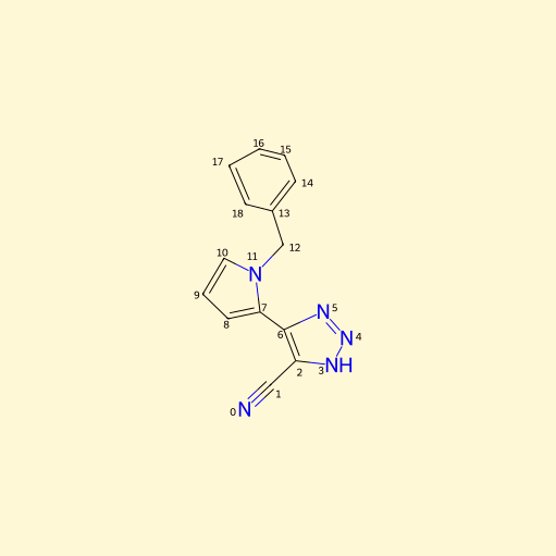 N#Cc1[nH]nnc1-c1cccn1Cc1ccccc1